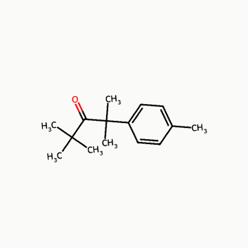 Cc1ccc(C(C)(C)C(=O)C(C)(C)C)cc1